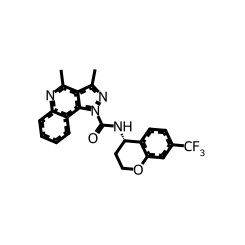 Cc1nc2ccccc2c2c1c(C)nn2C(=O)N[C@H]1CCOc2cc(C(F)(F)F)ccc21